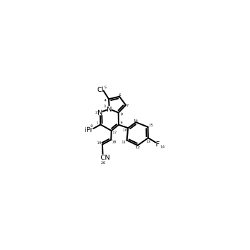 CC(C)c1nn2c(Cl)ccc2c(-c2ccc(F)cc2)c1C=CC#N